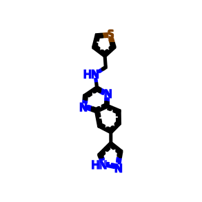 c1cc(CNc2cnc3cc(-c4cn[nH]c4)ccc3n2)cs1